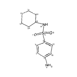 Nc1ccc(S(=O)(=O)NC2CCCCC2)cc1